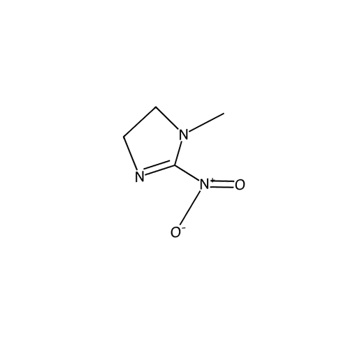 CN1CCN=C1[N+](=O)[O-]